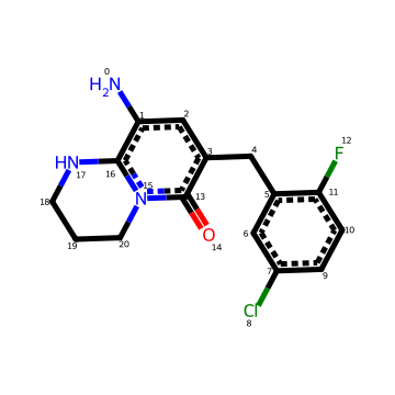 Nc1cc(Cc2cc(Cl)ccc2F)c(=O)n2c1NCCC2